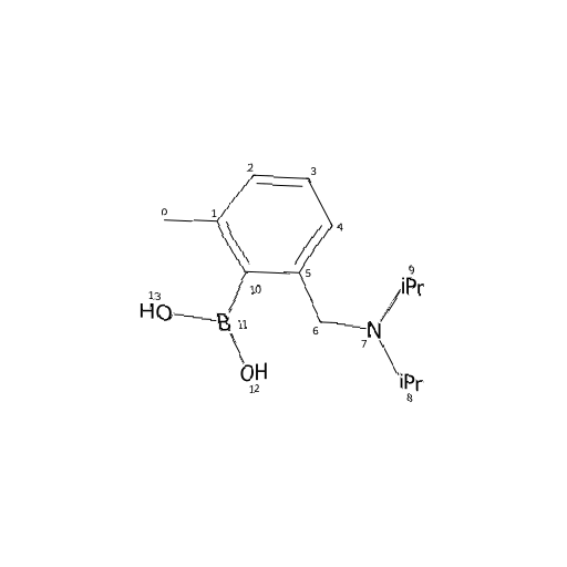 Cc1cccc(CN(C(C)C)C(C)C)c1B(O)O